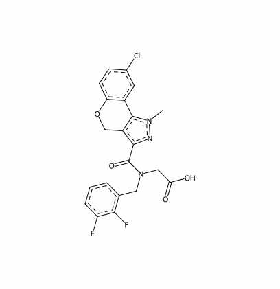 Cn1nc(C(=O)N(CC(=O)O)Cc2cccc(F)c2F)c2c1-c1cc(Cl)ccc1OC2